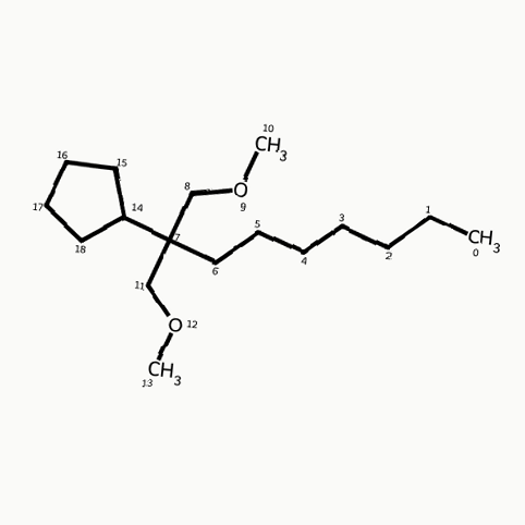 CCCCCCCC(COC)(COC)C1CCCC1